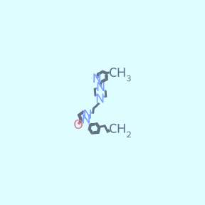 C=CCc1cccc(-n2c(=O)ccn2CCCN2CCN(c3cc(C)ccn3)CC2)c1